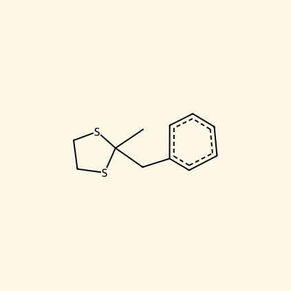 CC1(Cc2ccccc2)SCCS1